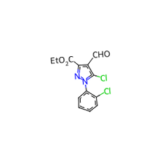 CCOC(=O)c1nn(-c2ccccc2Cl)c(Cl)c1C=O